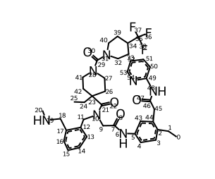 CCc1ccc(NC(=O)CN(Cc2ccccc2CNC)C(=O)C2(CC)CCN(C(=O)N3CCC(C(F)(F)F)CC3)CC2)cc1CC(=O)Nc1ccccn1